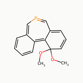 COC1(OC)C=CC=C2C=PC=c3ccccc3=C21